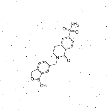 NS(=O)(=O)c1ccc2c(c1)CCN(Cc1ccc3c(c1)B(O)OC3)C2=O